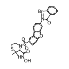 CC1(C)SCCN(S(=O)(=O)c2ccc3oc4cc(NC(=O)c5ccccc5Br)ccc4c3c2)C1C(=O)NO